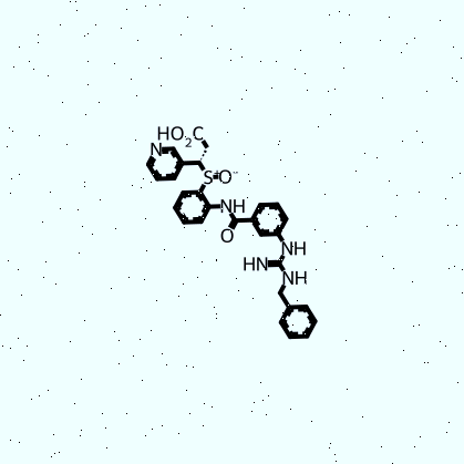 N=C(NCc1ccccc1)Nc1cccc(C(=O)Nc2ccccc2[S+]([O-])[C@@H](CC(=O)O)c2cccnc2)c1